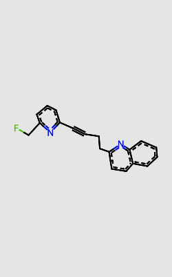 FCc1cccc(C#CCCc2ccc3ccccc3n2)n1